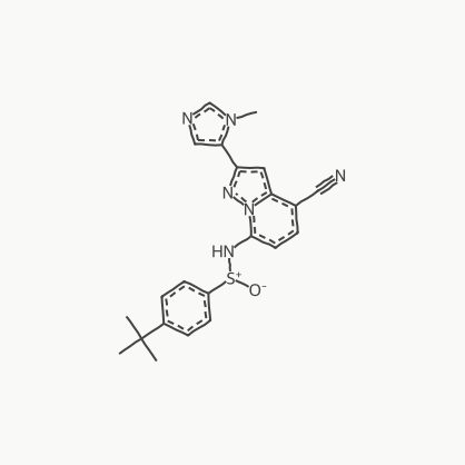 Cn1cncc1-c1cc2c(C#N)ccc(N[S+]([O-])c3ccc(C(C)(C)C)cc3)n2n1